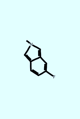 Cn1cc2ccc(F)cc2c1